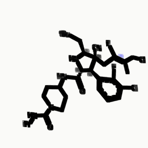 C/C(CCl)=C(/F)C[C@]1(C#N)[C@H](CC(C)(C)C)N[C@@H](C(=O)NC2CCN(C(=O)NC(C)C)CC2)[C@@H]1c1cccc(Cl)c1F